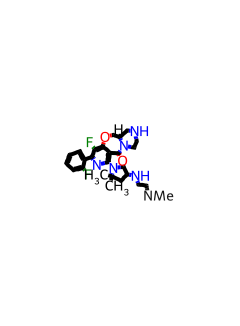 CNCCNC1CN(c2nc(-c3ccccc3F)c(F)c3c2C(=O)N2CCNC[C@@H]2CO3)C(C)(C)C1